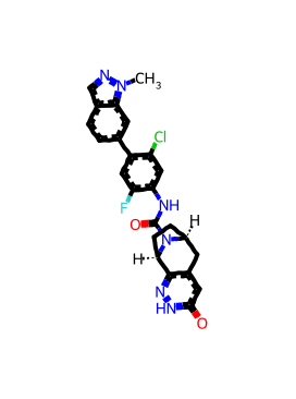 Cn1ncc2ccc(-c3cc(F)c(NC(=O)N4[C@H]5CC[C@@H]4c4n[nH]c(=O)cc4C5)cc3Cl)cc21